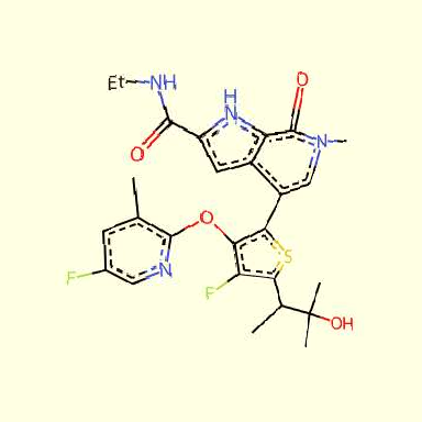 CCNC(=O)c1cc2c(-c3sc(C(C)C(C)(C)O)c(F)c3Oc3ncc(F)cc3C)cn(C)c(=O)c2[nH]1